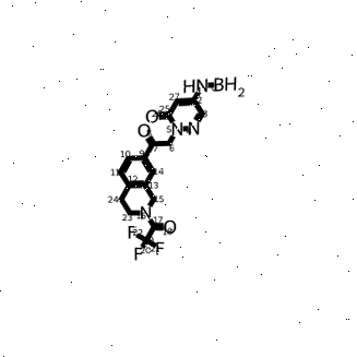 BNc1cnn(CC(=O)c2ccc3c(c2)CN(C(=O)C(F)(F)F)CC3)c(=O)c1